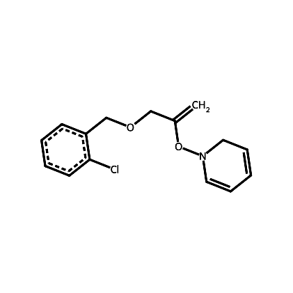 C=C(COCc1ccccc1Cl)ON1C=CC=CC1